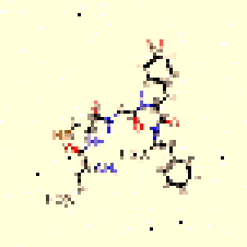 N[C@@H](CCC(=O)O)C(=O)N[C@@H](CS)C(=O)NCC(=O)N[C@@H](Cc1ccc(O)cc1)C(=O)N[C@@H](Cc1ccccc1)C(=O)O